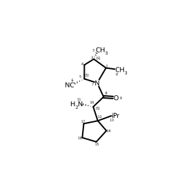 CC1[C@@H](C)C[C@@H](C#N)N1C(=O)[C@@H](N)C1(C(C)C)CCCC1